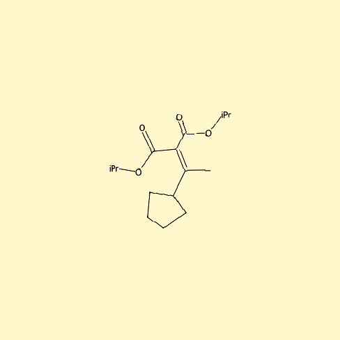 CC(=C(C(=O)OC(C)C)C(=O)OC(C)C)C1CCCC1